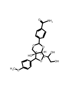 COc1ccc(C2O[C@H](C(O)CO)[C@@H]3OC(c4ccc(C(N)=O)cc4)OC[C@@]23O)cc1